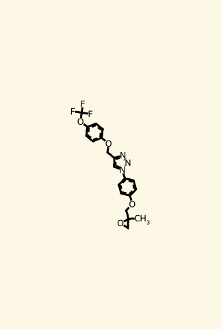 CC1(COc2ccc(-n3cc(COc4ccc(OC(F)(F)F)cc4)nn3)cc2)CO1